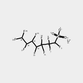 O=S(=O)([O-])C(F)C(F)(F)C(F)(F)C(F)C(F)C(F)C(F)F.[Li+]